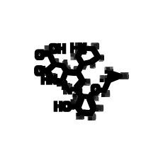 O=C(O)C1Cc2c(C3CCCNC3)cc(-c3c(O)cccc3OCC3CC3)nc2NC1=O